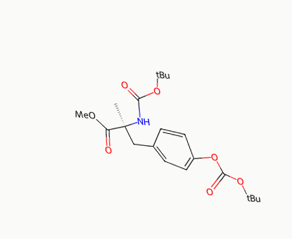 COC(=O)[C@](C)(Cc1ccc(OC(=O)OC(C)(C)C)cc1)NC(=O)OC(C)(C)C